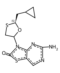 Nc1ncc2sc(=O)n(C3CS[C@@H](CC4CC4)O3)c2n1